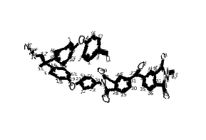 Cc1ccc(Oc2ccc(C(C)(CN=[N+]=[N-])c3ccc(Oc4ccc(N5C(=O)c6ccc(C(=O)c7ccc8c(c7)C(=O)N(C)C8=O)cc6C5=O)cc4)cc3)cc2)cc1